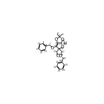 CC1(C)OC2=C(OCc3ccccc3)[C@@](CCl)(COCc3ccccc3)O[C@@H]2O1